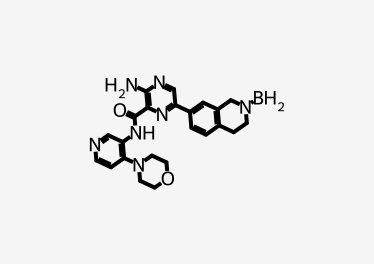 BN1CCc2ccc(-c3cnc(N)c(C(=O)Nc4cnccc4N4CCOCC4)n3)cc2C1